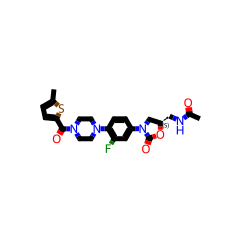 CC(=O)NC[C@H]1CN(c2ccc(N3CCN(C(=O)c4ccc(C)s4)CC3)c(F)c2)C(=O)O1